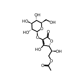 CC(=O)OC[C@H](O)[C@H]1OC(=O)C(O[C@@H]2O[C@H](CO)[C@@H](O)[C@H](O)[C@H]2O)=C1O